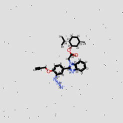 C#CCOc1ccc(-c2nc3ccccc3n2CC(=O)O[C@@H]2C[C@H](C)CC[C@H]2C(C)C)cc1N=[N+]=[N-]